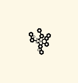 c1ccc(-c2cccc(-c3nc(-c4cc5oc6ccccc6c5cc4C4CCc5cc6ccccc6cc5-c5ccccc54)nc(-c4cccc5c4oc4ccccc45)n3)c2)cc1